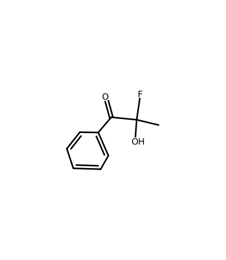 CC(O)(F)C(=O)c1ccccc1